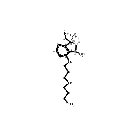 CCCCOCCCOc1cccc2c1B(O)O[C@]2(C)CN